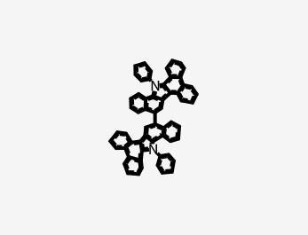 c1ccc(-n2c3c4ccccc4c(-c4cc5c6c7ccccc7c7ccccc7c6n(-c6ccccc6)c5c5ccccc45)cc3c3c4ccccc4c4ccccc4c32)cc1